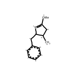 COC1=NC(Cc2ccccc2)C(C)C1